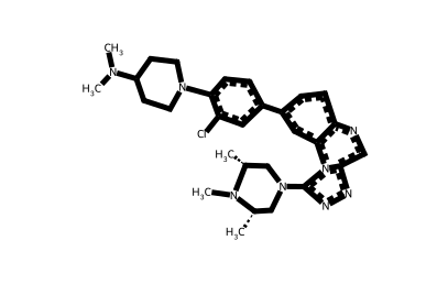 C[C@@H]1CN(c2nnc3cnc4ccc(-c5ccc(N6CCC(N(C)C)CC6)c(Cl)c5)cc4n23)C[C@H](C)N1C